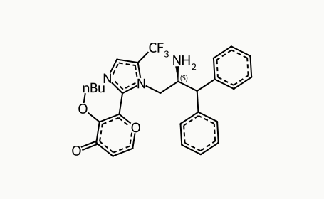 CCCCOc1c(-c2ncc(C(F)(F)F)n2C[C@@H](N)C(c2ccccc2)c2ccccc2)occc1=O